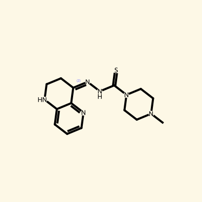 CN1CCN(C(=S)N/N=C2/CCNc3cccnc32)CC1